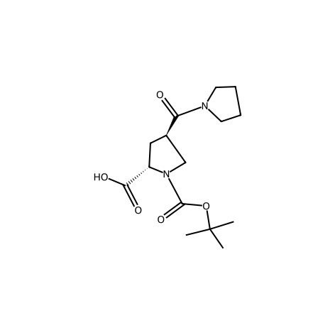 CC(C)(C)OC(=O)N1C[C@H](C(=O)N2CCCC2)C[C@H]1C(=O)O